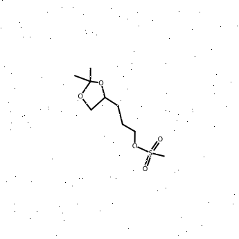 CC1(C)OCC(CCCOS(C)(=O)=O)O1